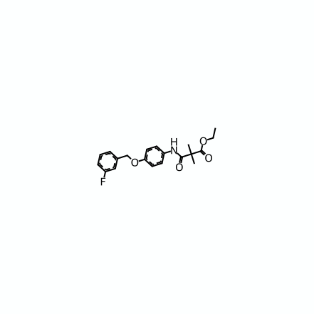 CCOC(=O)C(C)(C)C(=O)Nc1ccc(OCc2cccc(F)c2)cc1